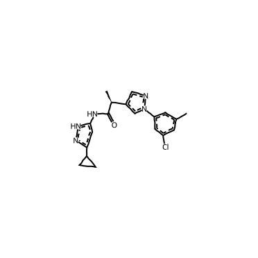 Cc1cc(Cl)cc(-n2cc([C@H](C)C(=O)Nc3cc(C4CC4)n[nH]3)cn2)c1